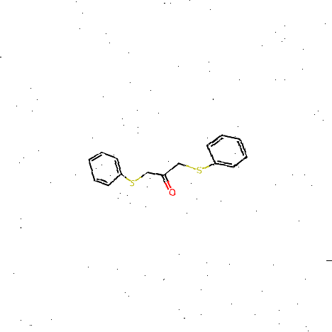 O=C(CSc1ccccc1)CSc1ccccc1